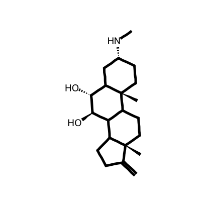 C=C1CCC2C3C(CC[C@]12C)[C@@]1(C)CC[C@@H](NC)CC1[C@@H](O)[C@@H]3O